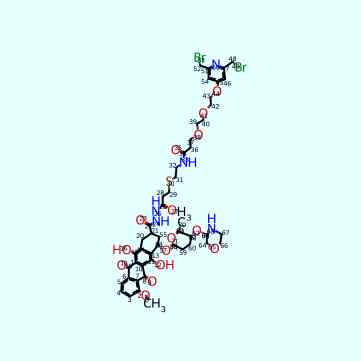 COc1cccc2c1C(=O)c1c(O)c3c(c(O)c1C2=O)CC(C(=O)NNC(=O)CCSCCNC(=O)CCOCCOCCOc1cc(CBr)nc(CBr)c1)C[C@@H]3O[C@H]1CC[C@H](O[C@@H]2COCCN2)[C@H](C)O1